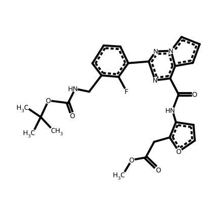 COC(=O)Cc1occc1NC(=O)c1nc(-c2cccc(CNC(=O)OC(C)(C)C)c2F)nn2cccc12